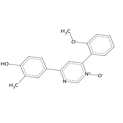 COc1ccccc1-c1cc(-c2ccc(O)c(C)c2)nc[n+]1[O-]